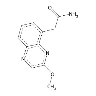 COc1cnc2cccc(CC(N)=O)c2n1